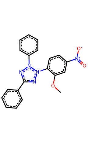 COc1cc([N+](=O)[O-])ccc1-[n+]1nc(-c2ccccc2)nn1-c1ccccc1